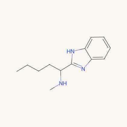 CCCCC(NC)c1nc2ccccc2[nH]1